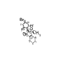 CC1(O)C2=C(CCCC2)C(=O)N1c1ccc(Br)cc1F